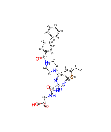 CCc1cc2c(N3CCN(C(=O)c4ccc(-c5ccccc5)cc4)CC3)nc(NC(=O)NCC(=O)O)nc2s1